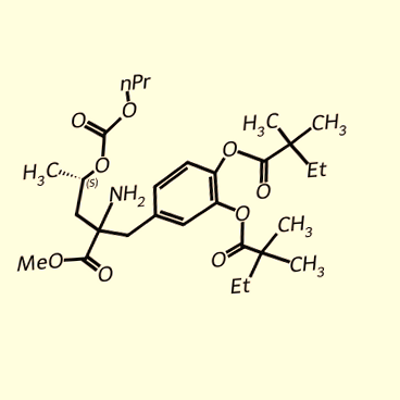 CCCOC(=O)O[C@@H](C)CC(N)(Cc1ccc(OC(=O)C(C)(C)CC)c(OC(=O)C(C)(C)CC)c1)C(=O)OC